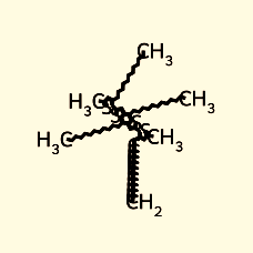 C=C=C=C=C=C=C=C=C=C=C=Cc1cc(C)sc1-c1cc2c(CCCCCCCCCCCC)c3sc(-c4sc(C)cc4CCCCCCCCCCCC)cc3c(CCCCCCCCCCCC)c2s1